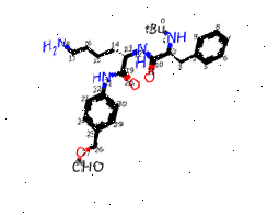 CC(C)(C)N[C@@H](Cc1ccccc1)C(=O)N[C@@H](CCCCN)C(=O)Nc1ccc(COC=O)cc1